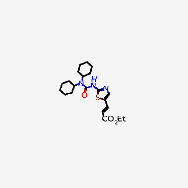 CCOC(=O)C=Cc1cnc(NC(=O)N(C2CCCCC2)C2CCCCC2)s1